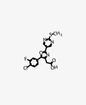 CSc1ncc(-c2nc(CC(=O)O)c(-c3ccc(Cl)c(F)c3)o2)cn1